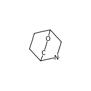 C1CC2C[N]C1CO2